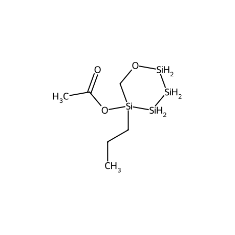 CCC[Si]1(OC(C)=O)CO[SiH2][SiH2][SiH2]1